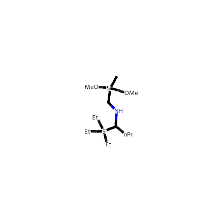 CCCC(NC[Si](C)(OC)OC)[Si](CC)(CC)CC